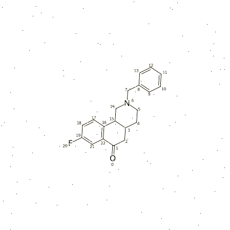 O=C1CC2CCN(Cc3ccccc3)CC2c2ccc(F)cc21